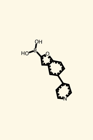 OB(O)c1cc2cc(-c3ccncc3)ccc2o1